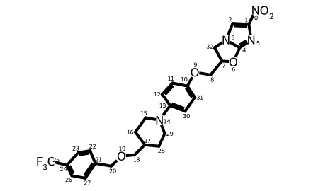 O=[N+]([O-])c1cn2c(n1)OC(COc1ccc(N3CCC(COCc4ccc(C(F)(F)F)cc4)CC3)cc1)C2